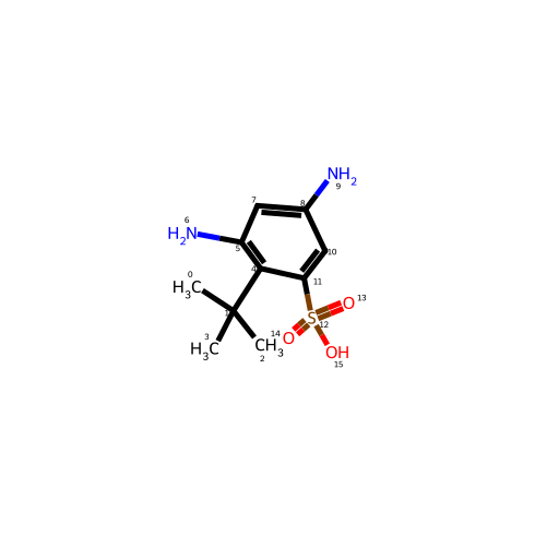 CC(C)(C)c1c(N)cc(N)cc1S(=O)(=O)O